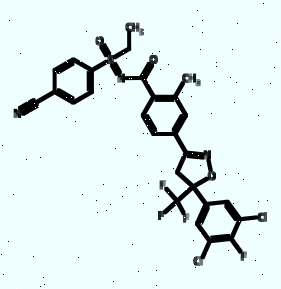 CCS(=O)(=NC(=O)c1ccc(C2=NOC(c3cc(Cl)c(F)c(Cl)c3)(C(F)(F)F)C2)cc1C)c1ccc(C#N)cc1